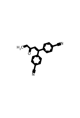 C=CC(=O)C=C(c1ccc(C#N)cc1)c1ccc(C#N)cc1